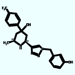 C[C@H]1CC(O)(c2ccc(C(F)(F)F)cc2)C[C@@H](c2cn(Cc3cccc(O)c3)nn2)N1